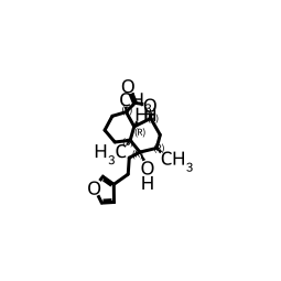 C[C@@H]1C[C@H]2OC(=O)[C@@]3(C)CCC[C@@](C)([C@@H]23)[C@@]1(O)CCc1ccoc1